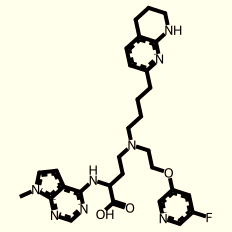 Cn1ccc2c(NC(CCN(CCCCc3ccc4c(n3)NCCC4)CCOc3cncc(F)c3)C(=O)O)ncnc21